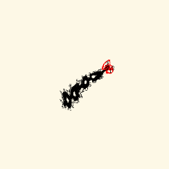 COC(=O)c1ccc(-c2ccc(-c3ccc(-c4ccc(C)cc4)cc3)cc2)cc1